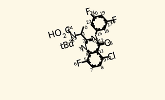 CC(c1nc2c(F)ccc(Cl)c2c(=O)n1-c1cc(F)cc(F)c1)N(C(=O)O)C(C)(C)C